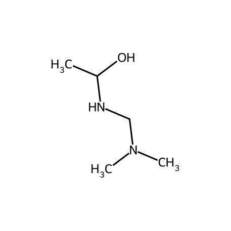 CC(O)NCN(C)C